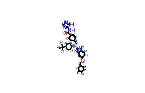 Cn1c(N(Cc2ccc(C(=O)Nc3nnn[nH]3)cc2)C2CCC(C(C)(C)C)CC2)nc2cc(OCc3ccccc3)ccc21